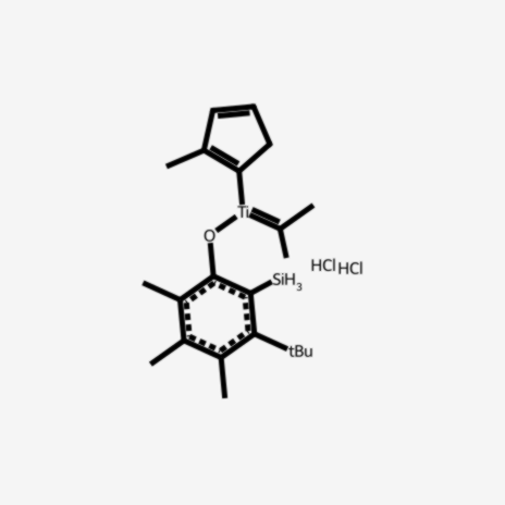 CC1=[C]([Ti]([O]c2c(C)c(C)c(C)c(C(C)(C)C)c2[SiH3])=[C](C)C)CC=C1.Cl.Cl